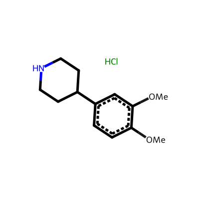 COc1ccc(C2CCNCC2)cc1OC.Cl